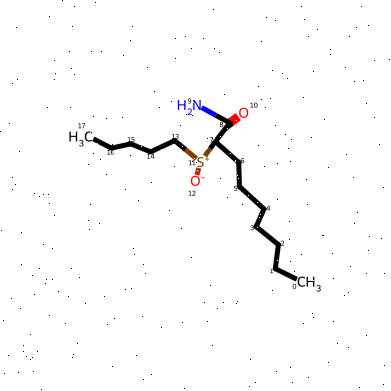 CCCCCCCC(C(N)=O)[S+]([O-])CCCCC